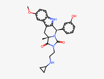 COc1ccc2[nH]c3c(c2c1)C[C@@]1(C)C(=O)N(CCNC2CC2)C(=O)N1[C@@H]3c1cccc(O)c1